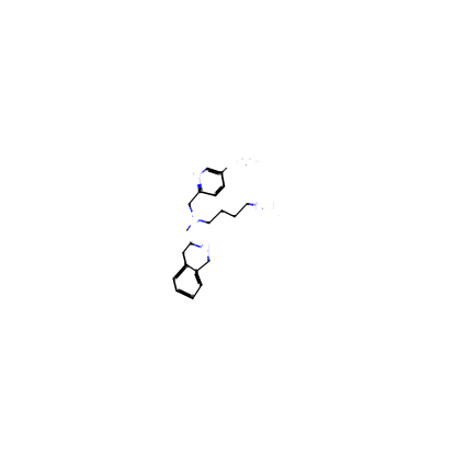 COc1ccc(CN(CCCCN)C[C@H]2Cc3ccccc3CN2)nc1